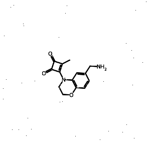 Cc1c(N2CCOc3ccc(CN)cc32)c(=O)c1=O